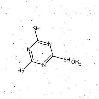 O.Sc1nc(S)nc(S)n1